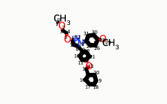 CCOCCOc1cc(-c2ccc(OCc3ccccc3)cc2)n(-c2ccc(OC)cc2)n1